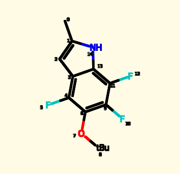 Cc1cc2c(F)c(OC(C)(C)C)c(F)c(F)c2[nH]1